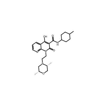 CC1CCC(NC(=O)c2c(O)c3cccnc3n(CCN3C[C@@H](C)OC[C@H]3C)c2=O)CC1